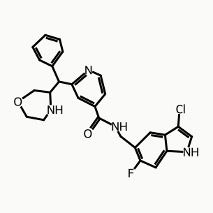 O=C(NCc1cc2c(Cl)c[nH]c2cc1F)c1ccnc(C(c2ccccc2)C2COCCN2)c1